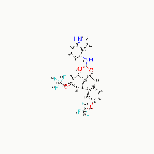 O=C(Nc1cccc2[nH]ccc12)OC(Cc1ccc(OC(F)(F)F)cc1)c1ccc(OC(F)(F)F)cc1